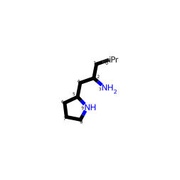 CC(C)CC(N)CC1CCCN1